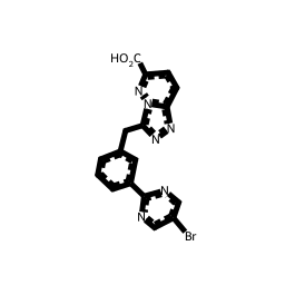 O=C(O)c1ccc2nnc(Cc3cccc(-c4ncc(Br)cn4)c3)n2n1